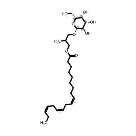 CC/C=C\C/C=C\C/C=C\CCCCCCCC(=O)OCC(C)CO[C@@H]1O[C@H](CO)[C@H](O)[C@H](O)[C@H]1O